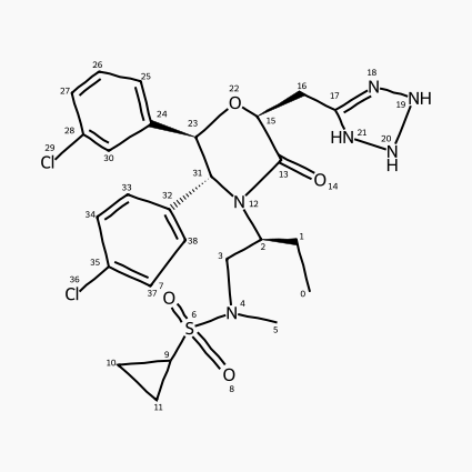 CC[C@@H](CN(C)S(=O)(=O)C1CC1)N1C(=O)[C@H](CC2=NNNN2)O[C@H](c2cccc(Cl)c2)[C@H]1c1ccc(Cl)cc1